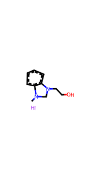 CN1CN(CCO)c2ccccc21.I